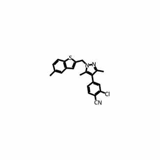 Cc1ccc2sc(Cn3nc(C)c(-c4ccc(C#N)c(Cl)c4)c3C)cc2c1